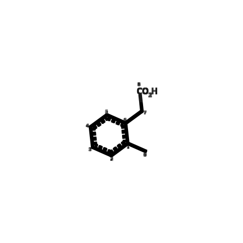 Cc1cc[c]cc1CC(=O)O